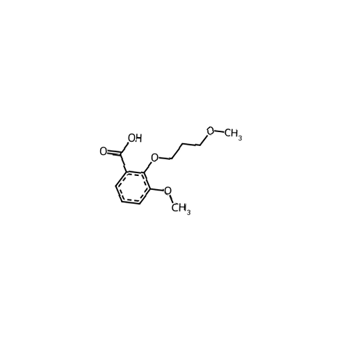 COCCCOc1c(OC)cccc1C(=O)O